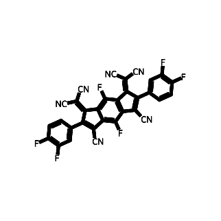 N#CC(C#N)=C1C(c2ccc(F)c(F)c2)=C(C#N)c2c(F)c3c(c(F)c21)C(=C(C#N)C#N)C(c1ccc(F)c(F)c1)=C3C#N